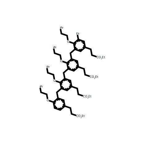 CCOC(=O)CCc1ccc(OCCC(C)C)c(Cc2cc(CCC(=O)OCC)cc(Cc3cc(CCC(=O)OCC)cc(Cc4cc(CCC(=O)OCC)cc(CC)c4OCCC(C)C)c3OCCC(C)C)c2OCCC(C)C)c1